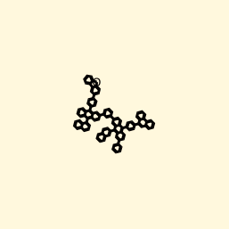 c1ccc(-c2ccc3c(-c4ccc(-c5cc6ccccc6c6ccccc56)cc4)c4ccc(-c5cccc(-c6ccc7c(-c8cccc9ccccc89)c8ccccc8c(-c8ccc(-c9ccc%10oc%11ccccc%11c%10c9)cc8)c7c6)c5)cc4c(-c4ccc5ccccc5c4)c3c2)cc1